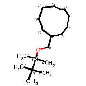 CC(C)(C)[Si](C)(C)OC[C]1CCCCCCCC1